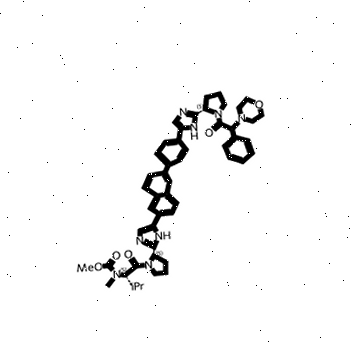 COC(=O)N(C)[C@H](C(=O)N1CCC[C@H]1c1ncc(-c2ccc3cc(-c4ccc(-c5cnc([C@@H]6CCCN6C(=O)C(c6ccccc6)N6CCOCC6)[nH]5)cc4)ccc3c2)[nH]1)C(C)C